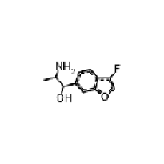 CC(N)C(O)c1ccc2c(F)coc2c1